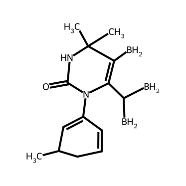 BC1=C(C(B)B)N(C2=CC(C)CC=C2)C(=O)NC1(C)C